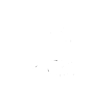 CO[C@@H]1[C@H](OP(=O)(O)OC(C)C)[C@@H](CCP(=O)(O)O)C[C@@H]1C